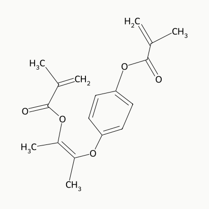 C=C(C)C(=O)OC(C)=C(C)Oc1ccc(OC(=O)C(=C)C)cc1